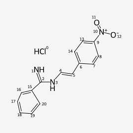 Cl.N=C(NC=Cc1ccc([N+](=O)[O-])cc1)c1ccccc1